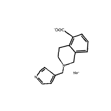 O=C([O-])c1cccc2c1CCN(Cc1ccncc1)C2.[Na+]